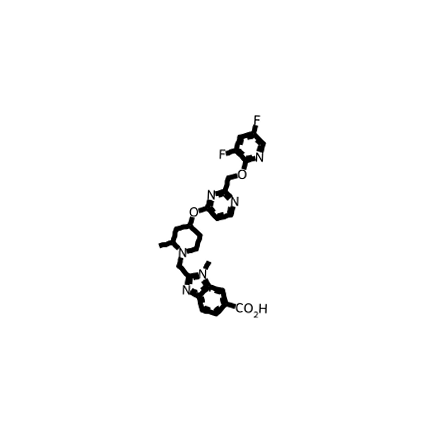 CC1CC(Oc2ccnc(COc3ncc(F)cc3F)n2)CCN1Cc1nc2ccc(C(=O)O)cc2n1C